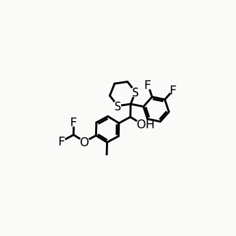 Cc1cc(C(O)C2(c3cccc(F)c3F)SCCCS2)ccc1OC(F)F